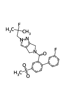 CC(C)(F)Cn1cc2c(n1)CN(C(=O)c1cc(S(C)(=O)=O)ccc1-c1cccc(F)c1)C2